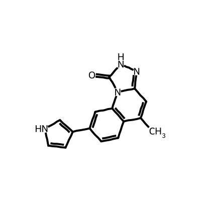 Cc1cc2n[nH]c(=O)n2c2cc(-c3cc[nH]c3)ccc12